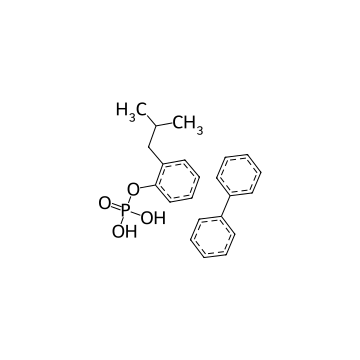 CC(C)Cc1ccccc1OP(=O)(O)O.c1ccc(-c2ccccc2)cc1